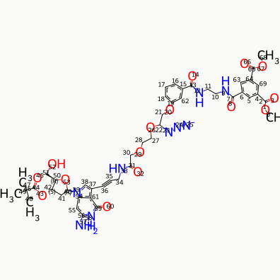 COC(=O)c1cc(C(=O)NCCNC(=O)c2cccc(OCC(N=[N+]=[N-])OCCOCC(=O)NCC#Cc3cn([C@H]4C[C@H](OC(=O)C(C)(C)C)[C@@H](CO)O4)c4cc(N)[nH]c(=O)c34)c2)cc(C(=O)OC)c1